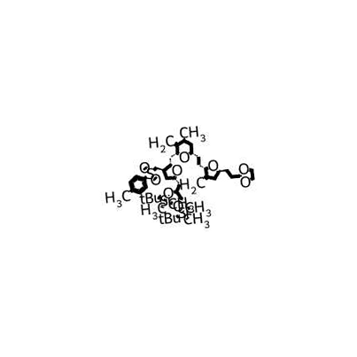 C=C1C[C@H](CCC2OCCO2)O[C@H]1CC[C@H]1C[C@H](C)C(=C)[C@@H](C[C@@H]2O[C@H](CC(CO[Si](C)(C)C(C)(C)C)O[Si](C)(C)C(C)(C)C)C[C@H]2CS(=O)(=O)c2ccc(C)cc2)O1